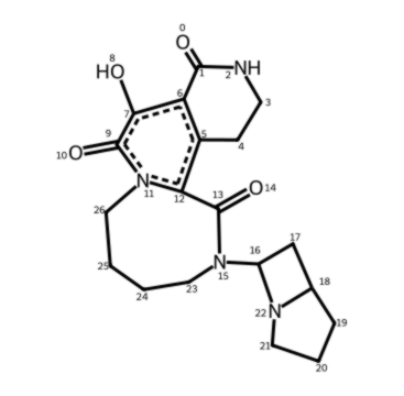 O=C1NCCc2c1c(O)c(=O)n1c2C(=O)N(C2CC3CCCN32)CCCC1